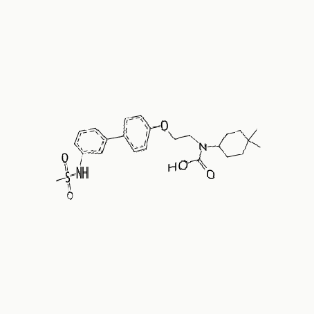 CC1(C)CCC(N(CCOc2ccc(-c3cccc(NS(C)(=O)=O)c3)cc2)C(=O)O)CC1